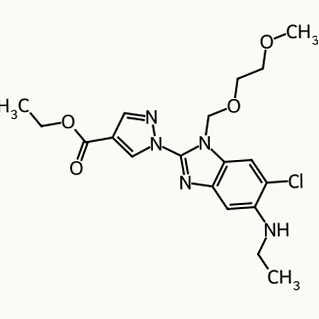 CCNc1cc2nc(-n3cc(C(=O)OCC)cn3)n(COCCOC)c2cc1Cl